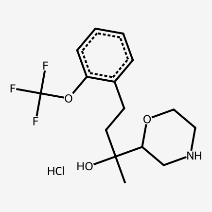 CC(O)(CCc1ccccc1OC(F)(F)F)C1CNCCO1.Cl